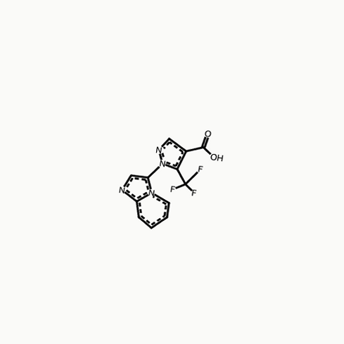 O=C(O)c1cnn(-c2cnc3ccccn23)c1C(F)(F)F